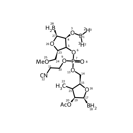 [2H]B([3H])O[C@H]1C(OP(=O)(OCC[N+]#[C-])OC[C@H]2O[C@@H](B)[C@@H](OC(C)=O)C2C)[C@@H](COC)O[C@H]1B